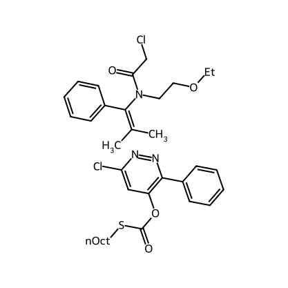 CCCCCCCCSC(=O)Oc1cc(Cl)nnc1-c1ccccc1.CCOCCN(C(=O)CCl)C(=C(C)C)c1ccccc1